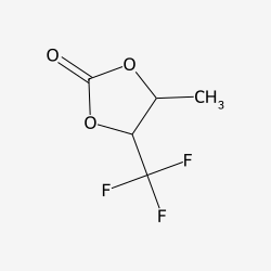 CC1OC(=O)OC1C(F)(F)F